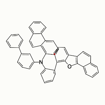 c1ccc(-c2cccc(N(c3ccccc3-c3cccc4c3oc3c5ccccc5ccc43)c3cccc4c3ccc3ccccc34)c2)cc1